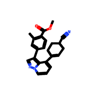 COC(=O)c1ccc(-c2cnn3cccc(C4=CCC(C#N)CC4)c23)cc1C